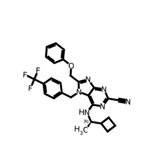 C[C@@H](Nc1nc(C#N)nc2nc(COc3ccccc3)n(Cc3ccc(C(F)(F)F)cc3)c12)C1CCC1